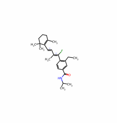 CCc1cc(C(=O)NC(C)C)ccc1/C(F)=C(C)/C=C/C1=C(C)CCCC1(C)C